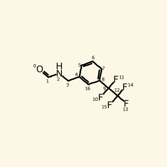 O=[C]NCc1cccc(C(F)(F)C(F)(F)F)c1